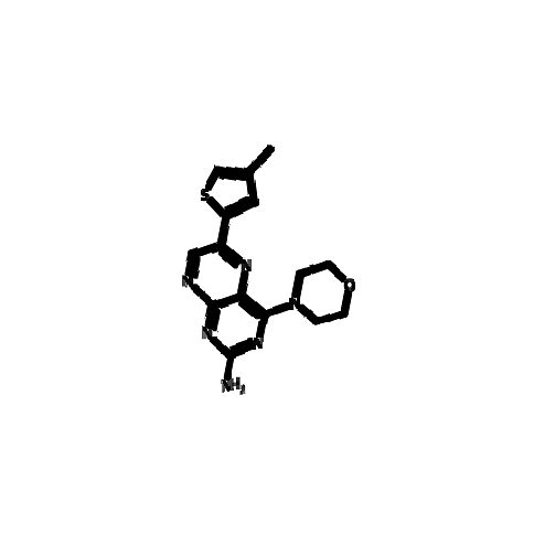 Cc1csc(-c2cnc3nc(N)nc(N4CCOCC4)c3n2)c1